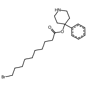 O=C(CCCCCCCCCBr)OC1(c2ccccc2)CCNCC1